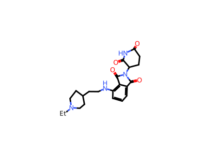 CCN1CCC(CCNc2cccc3c2C(=O)N(C2CCC(=O)NC2=O)C3=O)CC1